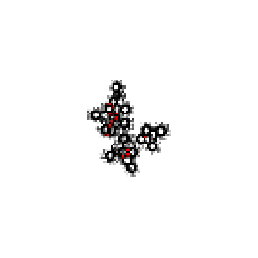 c1cc(-c2ccccc2-n2c3ccccc3c3ccccc32)cc(N(c2ccc3c(ccc4ccccc43)c2)c2cc(-c3cccc4c(N(c5cccc(-c6ccccc6-n6c7ccccc7c7ccccc76)c5)c5ccccc5-c5cccc6c5oc5ccccc56)cc5ccccc5c34)ccc2-c2cccc3c2oc2ccccc23)c1